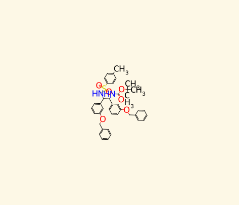 Cc1ccc(S(=O)(=O)NC(c2cccc(OCc3ccccc3)c2)C(NC(=O)OC(C)(C)C)c2cccc(OCc3ccccc3)c2)cc1